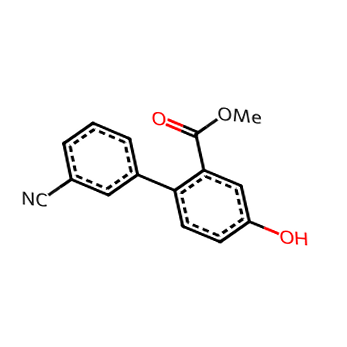 COC(=O)c1cc(O)ccc1-c1cccc(C#N)c1